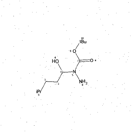 CC(C)CCC(O)N(N)C(=O)OC(C)(C)C